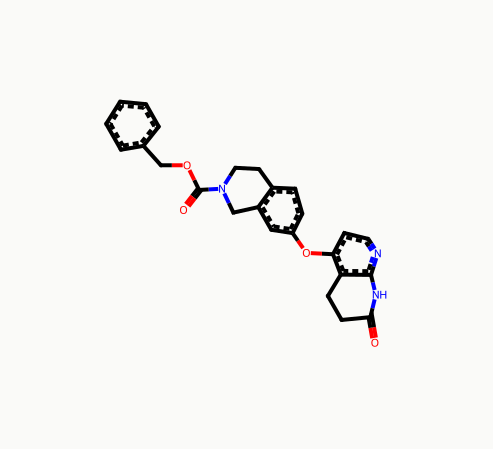 O=C1CCc2c(Oc3ccc4c(c3)CN(C(=O)OCc3ccccc3)CC4)ccnc2N1